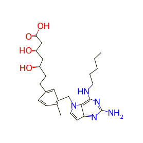 CCCCCNc1nc(N)nc2ccn(Cc3cc(CC[C@@H](O)C[C@@H](O)CC(=O)O)ccc3C)c12